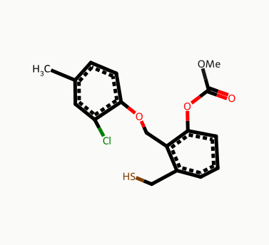 COC(=O)Oc1cccc(CS)c1COc1ccc(C)cc1Cl